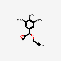 C#CCOC(c1cc(OC)c(OC)c(OC)c1)C1CO1